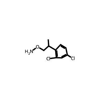 CC(CON)c1ccc(Cl)cc1Cl